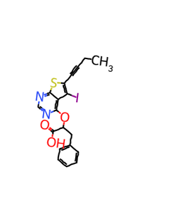 CCC#Cc1sc2ncnc(OC(Cc3ccccc3)C(=O)O)c2c1I